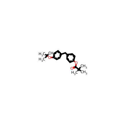 CC(C)(C)Oc1ccc(Cc2ccc(OC(=O)C(C)(C)C)cc2)cc1